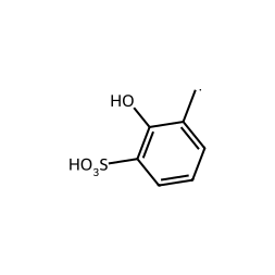 [CH2]c1cccc(S(=O)(=O)O)c1O